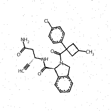 C#C[C@H](CC(N)=O)NC(=O)[C@@H]1c2ccccc2CN1C(=O)C1(c2ccc(Cl)cc2)CC(C)C1